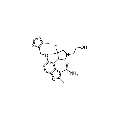 Cc1ncsc1COc1ccc2oc(C)c(C(N)=O)c2c1C1CN(CCO)CC1(F)F